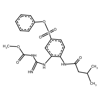 COC(=O)NC(=N)Nc1cc(S(=O)(=O)Oc2ccccc2)ccc1NC(=O)CC(C)C